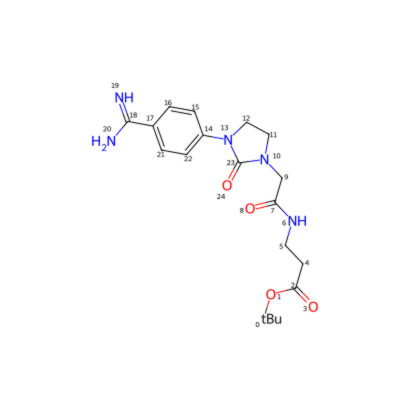 CC(C)(C)OC(=O)CCNC(=O)CN1CCN(c2ccc(C(=N)N)cc2)C1=O